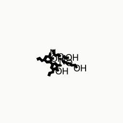 C=CCc1cc(CN(C)CCOCCO)c(O)c(-c2cc(CC=C)c(O)c(CN(C)CCOCCO)c2)c1